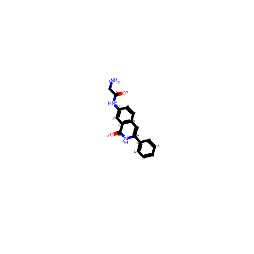 NCC(=O)Nc1ccc2cc(-c3ccccc3)[nH]c(=O)c2c1